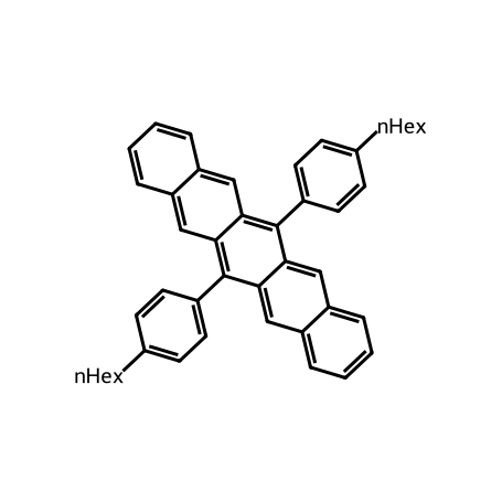 CCCCCCc1ccc(-c2c3cc4ccccc4cc3c(-c3ccc(CCCCCC)cc3)c3cc4ccccc4cc23)cc1